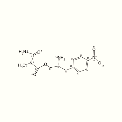 CN(C(N)=O)C(=O)OC[C@H](N)Cc1ccc([N+](=O)[O-])cc1